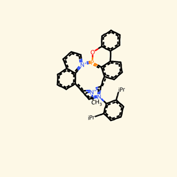 CC(C)c1cccc(C(C)C)c1-n1cc2c3cccc4ccc[n+](c43)p3c4c(cccc4c1[n+]2C)-c1ccccc1O3